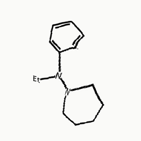 CCN(c1[c]cccc1)N1CCCCC1